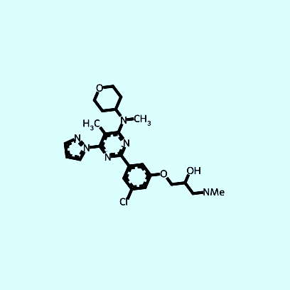 CNCC(O)COc1cc(Cl)cc(-c2nc(N(C)C3CCOCC3)c(C)c(-n3cccn3)n2)c1